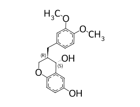 COc1ccc(C[C@@H]2COc3ccc(O)cc3[C@H]2O)cc1OC